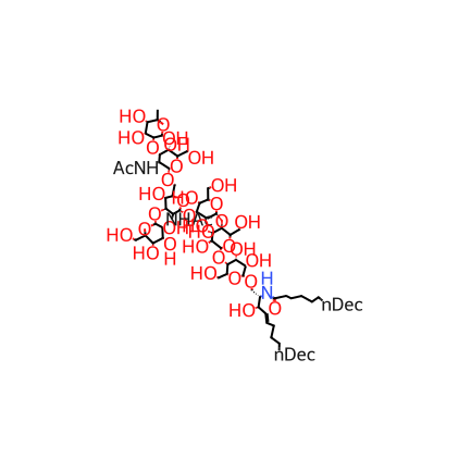 CCCCCCCCCCCCC/C=C/[C@@H](O)[C@H](CO[C@@H]1OC(CO)[C@@H](O[C@@H]2OC(CO)[C@H](O[C@@H]3OC(CO)[C@H](O)[C@H](O[C@@H]4OC(CO[C@@H]5OC(CO)[C@@H](O)[C@H](O[C@H]6C(O)[C@H](O)C(C)O[C@H]6O)C5NC(C)=O)[C@H](O)[C@H](O[C@@H]5OC(CO)[C@H](O)[C@H](O)C5O)C4NC(C)=O)C3O)[C@H](O)C2O)[C@H](O)C1O)NC(=O)CCCCCCCCCCCCCCC